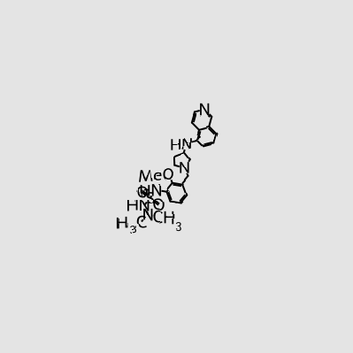 COc1c(CN2CCC(Nc3cccc4cnccc34)C2)cccc1NS(=O)(=O)NN(C)C